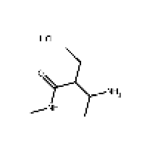 CCC(C(=O)NC)C(C)N.Cl